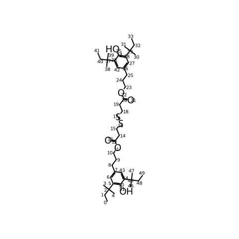 CCC(C)(C)c1cc(CCCOC(=O)CCSSCCC(=O)OCCCc2cc(C(C)(C)CC)c(O)c(C(C)(C)CC)c2)cc(C(C)(C)CC)c1O